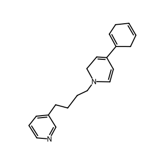 C1=CCC(C2=CCN(CCCCc3cccnc3)C=C2)=CC1